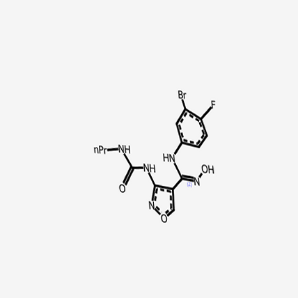 CCCNC(=O)Nc1nocc1/C(=N/O)Nc1ccc(F)c(Br)c1